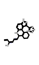 C=C/C(O)=C\C=C\C1Nc2ccc3[nH]nc(-c4nnn[nH]4)c3c2C2=C1CCCC2